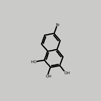 Oc1cc2cc(Br)ccc2c(O)c1O